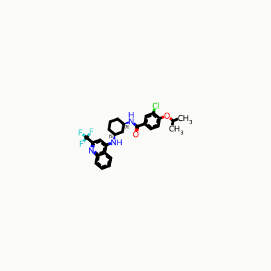 CC(C)Oc1ccc(C(=O)N[C@@H]2CCC[C@H](Nc3cc(C(F)(F)F)nc4ccccc34)C2)cc1Cl